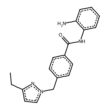 CCc1ccn(Cc2ccc(C(=O)Nc3ccccc3N)cc2)n1